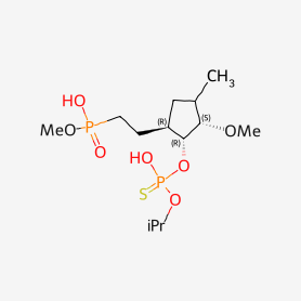 CO[C@H]1C(C)C[C@H](CCP(=O)(O)OC)[C@H]1OP(O)(=S)OC(C)C